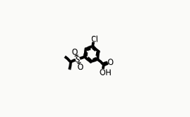 CC(C)S(=O)(=O)c1cc(Cl)cc(C(=O)O)c1